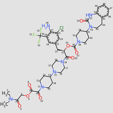 CN(C)C(=O)COC(=O)C(=O)N1CCC(N2CCN(C(=O)[C@@H](Cc3cc(Cl)c(N)c(C(F)(F)F)c3)OC(=O)N3CCC(N4CCc5ccccc5NC4=O)CC3)CC2)CC1